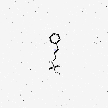 NS(=O)(=O)NC/C=C/c1ccccc1